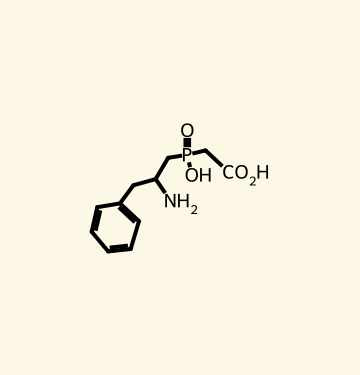 NC(Cc1ccccc1)CP(=O)(O)CC(=O)O